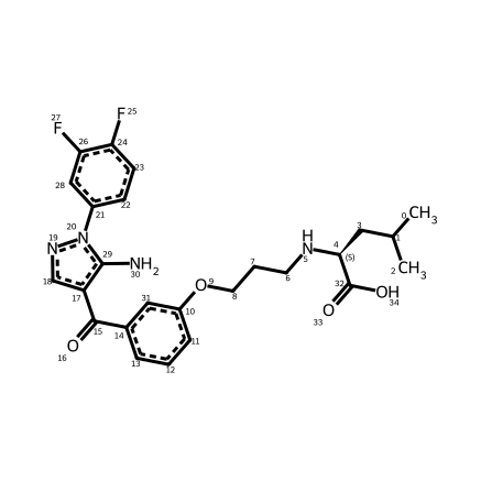 CC(C)C[C@H](NCCCOc1cccc(C(=O)c2cnn(-c3ccc(F)c(F)c3)c2N)c1)C(=O)O